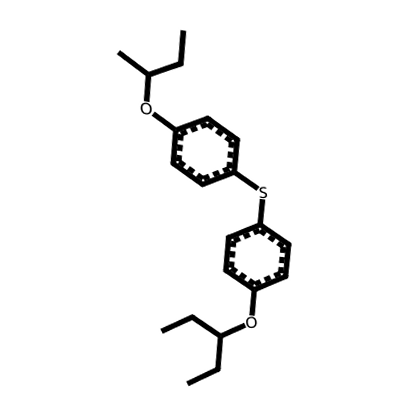 CCC(C)Oc1ccc(Sc2ccc(OC(CC)CC)cc2)cc1